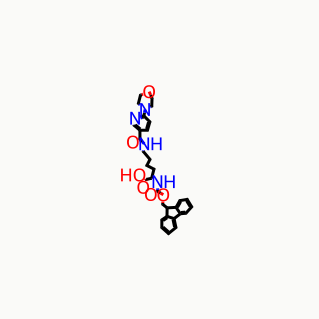 O=C(NC(CCCCNC(=O)c1ccc(N2CCOCC2)nc1)C(=O)O)OCC1c2ccccc2-c2ccccc21